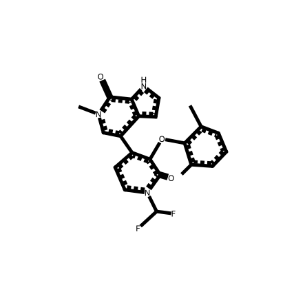 Cc1cccc(C)c1Oc1c(-c2cn(C)c(=O)c3[nH]ccc23)ccn(C(F)F)c1=O